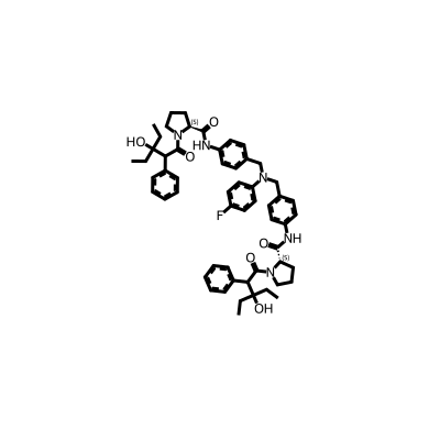 CCC(O)(CC)C(C(=O)N1CCC[C@H]1C(=O)Nc1ccc(CN(Cc2ccc(NC(=O)[C@@H]3CCCN3C(=O)C(c3ccccc3)C(O)(CC)CC)cc2)c2ccc(F)cc2)cc1)c1ccccc1